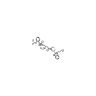 COCCCn1c(C2CCCN(C(=O)CC(N)CNC(=O)Nc3ccccc3OC(F)F)C2)nc2ccccc21